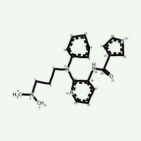 CN(C)CCCN(c1ccccc1)c1ncccc1NC(=O)c1ccsc1